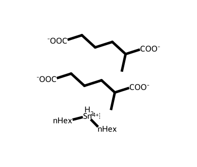 CC(CCCC(=O)[O-])C(=O)[O-].CC(CCCC(=O)[O-])C(=O)[O-].CCCCC[CH2][SnH2+4][CH2]CCCCC